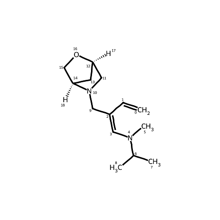 C=C/C(=C\N(C)C(C)C)CN1C[C@H]2C[C@@H]1CO2